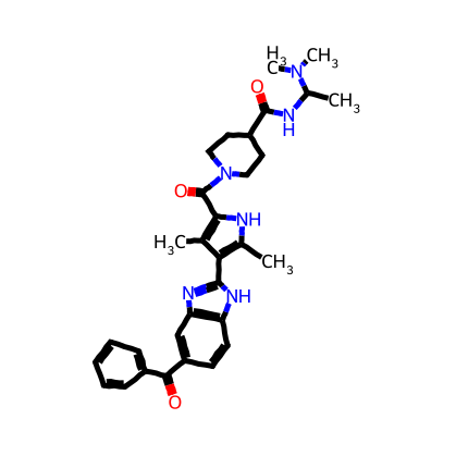 Cc1[nH]c(C(=O)N2CCC(C(=O)NC(C)N(C)C)CC2)c(C)c1-c1nc2cc(C(=O)c3ccccc3)ccc2[nH]1